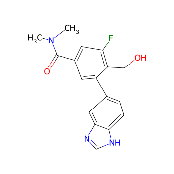 CN(C)C(=O)c1cc(F)c(CO)c(-c2ccc3[nH]cnc3c2)c1